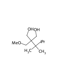 COCC(CO)(CO)C(C)(C)C(C)C